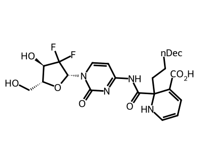 CCCCCCCCCCCCC1(C(=O)Nc2ccn([C@@H]3O[C@H](CO)[C@@H](O)C3(F)F)c(=O)n2)NC=CC=C1C(=O)O